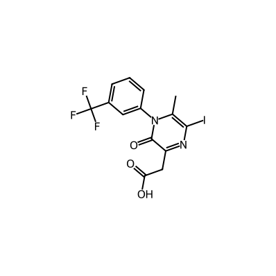 Cc1c(I)nc(CC(=O)O)c(=O)n1-c1cccc(C(F)(F)F)c1